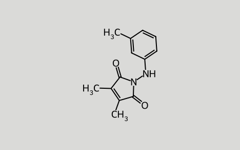 CC1=C(C)C(=O)N(Nc2cccc(C)c2)C1=O